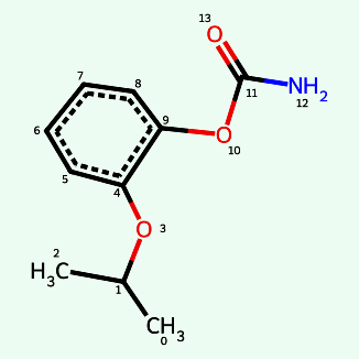 CC(C)Oc1ccccc1OC(N)=O